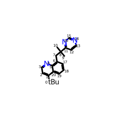 CC(C)(C)c1ccnc2c(CC(C)(C)c3ccncn3)cccc12